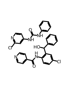 O=C(Nc1ccc(Cl)cc1C(O)c1ccccc1)c1ccncc1.O=C(Nc1ccccc1)Nc1ccnc(Cl)c1